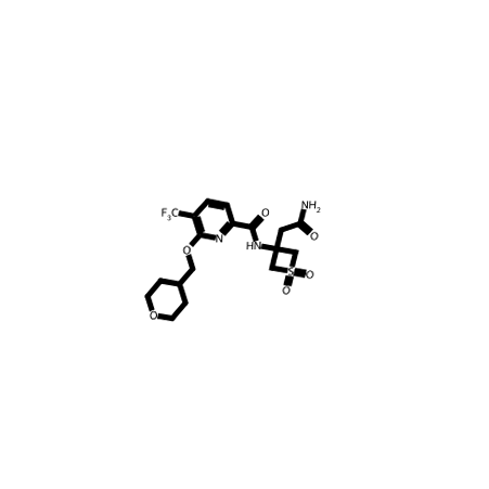 NC(=O)CC1(NC(=O)c2ccc(C(F)(F)F)c(OCC3CCOCC3)n2)CS(=O)(=O)C1